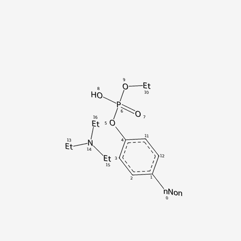 CCCCCCCCCc1ccc(OP(=O)(O)OCC)cc1.CCN(CC)CC